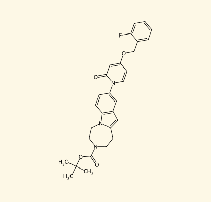 CC(C)(C)OC(=O)N1CCc2cc3cc(-n4ccc(OCc5ccccc5F)cc4=O)ccc3n2CC1